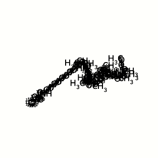 COCCOCCC(=O)N[C@H](C(=O)N[C@@H](C)C(=O)Nc1ccc(COC(=O)N2c3cc(OCCCCCOc4cc5c(cc4OC)C(=O)N4C=C(C)C[C@H]4[C@H](O)N5C(=O)OCc4ccc(NC(=O)[C@H](C)NC(=O)[C@@H](NC(=O)CCOCCOCCOCCOCCOCCOCCOCCOCCNC(=O)CCN5C(=O)CC(c6ccccccccc6)C5=O)C(C)C)cc4)c(OC)cc3C(=O)N3C=C(C)C[C@H]3[C@@H]2O)cc1)C(C)C